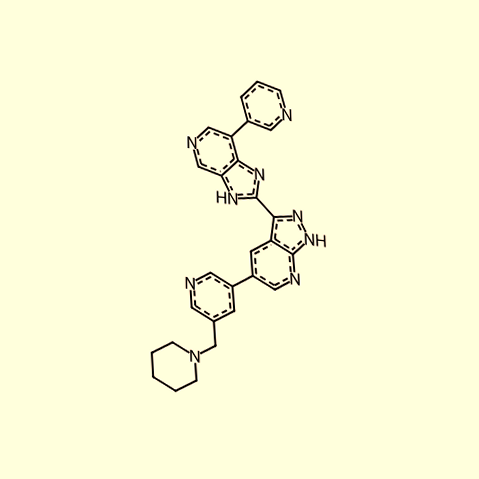 c1cncc(-c2cncc3[nH]c(-c4n[nH]c5ncc(-c6cncc(CN7CCCCC7)c6)cc45)nc23)c1